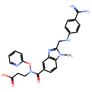 Cn1c(CNc2ccc(C(=N)N)cc2)nc2cc(C(=O)N(CCC(=O)O)Oc3ccccn3)ccc21